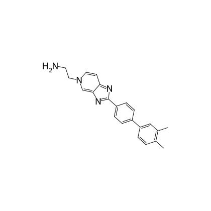 Cc1ccc(-c2ccc(-c3nc4ccn(CCN)cc-4n3)cc2)cc1C